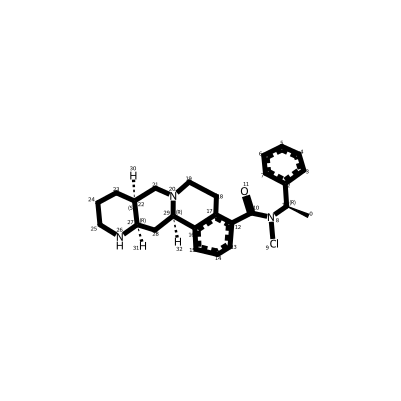 C[C@H](c1ccccc1)N(Cl)C(=O)c1cccc2c1CCN1C[C@@H]3CCCN[C@@H]3C[C@H]21